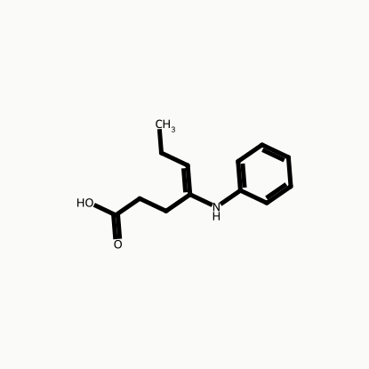 CCC=C(CCC(=O)O)Nc1ccccc1